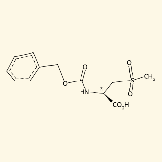 CS(=O)(=O)C[C@H](NC(=O)OCc1ccccc1)C(=O)O